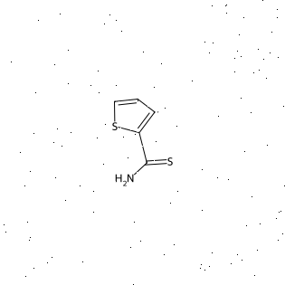 NC(=S)c1[c]ccs1